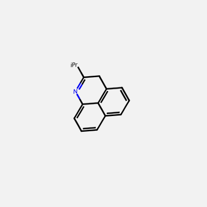 CC(C)C1=Nc2cccc3cccc(c23)C1